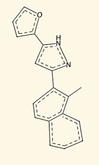 Cc1c(-c2cc(-c3ccco3)[nH]n2)ccc2ccccc12